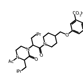 CC(=O)N1CCN(C(CC(C)C)C(=O)N2CCC(COc3cccc(C(=O)O)c3)CC2)C(=O)C1CC(C)C